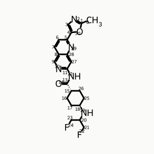 Cc1ncc(-c2ccc3cnc(NC(=O)[C@H]4CC[C@H](NC(CF)CF)CC4)cc3n2)o1